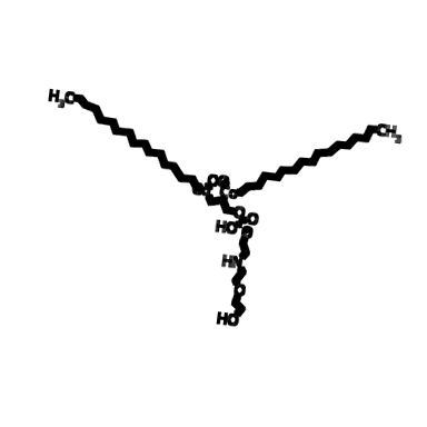 CCCCCCCCCCCCCCCC[CH2][Co](=[O])[CH2][CH](COP(=O)(O)OCCNCCOCCO)[Co](=[O])[CH2]CCCCCCCCCCCCCCCC